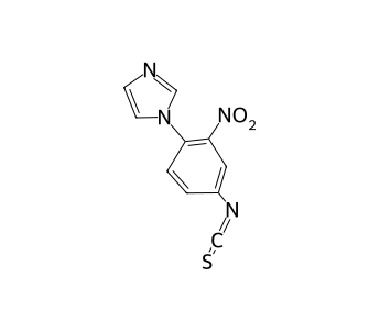 O=[N+]([O-])c1cc(N=C=S)ccc1-n1ccnc1